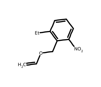 C=COCc1c(CC)cccc1[N+](=O)[O-]